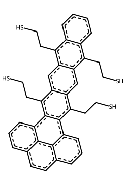 SCCc1c2ccccc2c(CCS)c2cc3c(CCS)c4c5cccc6ccc7cccc(c4c(CCS)c3cc12)c7c65